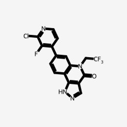 O=c1c2cn[nH]c2c2ccc(-c3ccnc(Cl)c3F)cc2n1CC(F)(F)F